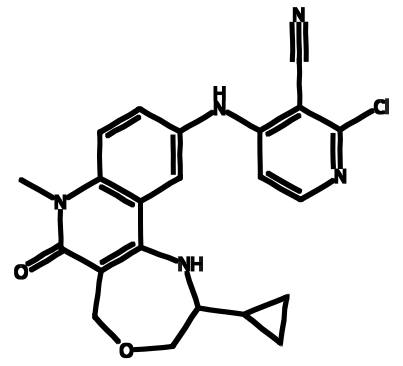 Cn1c(=O)c2c(c3cc(Nc4ccnc(Cl)c4C#N)ccc31)NC(C1CC1)COC2